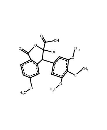 COc1ccc2c(c1)C(c1cc(OC)c(OC)c(OC)c1)C(O)(C(=O)O)OC2=O